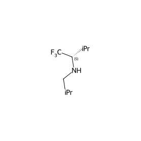 CC(C)CN[C@@H](C(C)C)C(F)(F)F